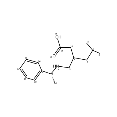 CC(C)CC(CN[C@H](C)c1ccccc1)CC(=O)O